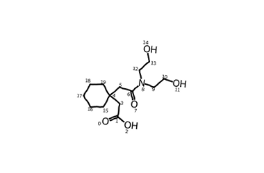 O=C(O)CC1(CC(=O)N(CCO)CCO)CCCCC1